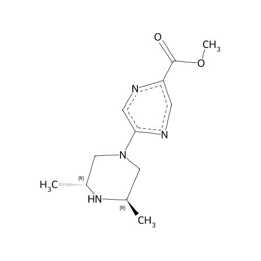 COC(=O)c1cnc(N2C[C@@H](C)N[C@H](C)C2)cn1